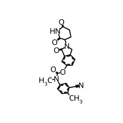 Cc1ccc(N(C)C(=O)Oc2ccc3c(c2)C(=O)N(C2CCC(=O)NC2=O)C3)cc1C#N